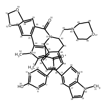 Cc1c(C(=O)N(c2cnc(O)nc2)c2cnc3c(ccn3C)c2)cc(-c2cc3c(cc2C(=O)N2Cc4ccccc4C[C@H]2CN2CCOCC2)OCO3)n1C